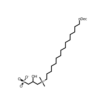 CCCCCCCCCCCCCCCCCCCCCCCCC[N+](C)(C)CC(O)CS(=O)(=O)[O-]